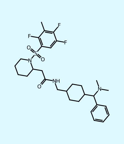 Cc1c(F)c(F)cc(S(=O)(=O)N2CCCCC2CC(=O)NCC2CCC(C(c3ccccc3)N(C)C)CC2)c1F